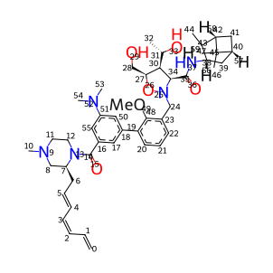 C=C/C=C\C=C\C[C@H]1CN(C)CCN1C(=O)c1cc(-c2cccc(CN3O[C@@H](CO)[C@@H]([C@H](C)O)[C@H]3C(=O)N[C@H]3C[C@H]4C[C@@H]([C@@H]3C)C4(C)C)c2OC)cc(N(C)C)c1